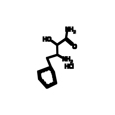 Cl.NC(=O)C(O)C(N)Cc1ccccc1